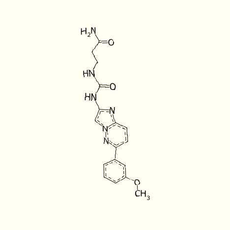 COc1cccc(-c2ccc3nc(NC(=O)NCCC(N)=O)cn3n2)c1